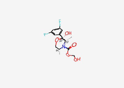 C[C@@H]1CO[C@@](O)(c2cc(F)cc(F)c2)[C@H](C)N1C(=O)OCO